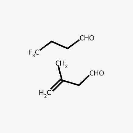 C=C(C)CC=O.O=CCCC(F)(F)F